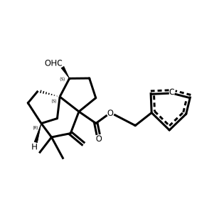 C=C1C(C)(C)[C@@H]2CC[C@]3(C2)[C@@H](C=O)CCC13C(=O)OCc1ccccc1